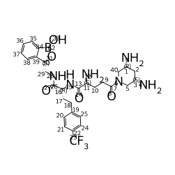 N[C@@H]1C[C@H](N)CN(C(=O)CC[C@H](N)C(=O)N[C@H](CCc2ccc(C(F)(F)F)cc2)C(=O)NC[C@H]2OB(O)c3ccccc32)C1